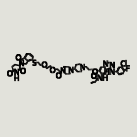 C=CC(=O)Nc1cc2c(Nc3ccc(F)c(Cl)c3)ncnc2cc1OCCCN1CCC(N2CCN(C(=O)COCCOCCSc3cccc4c3CN(C3CCC(=O)NC3=O)C4=O)CC2)CC1